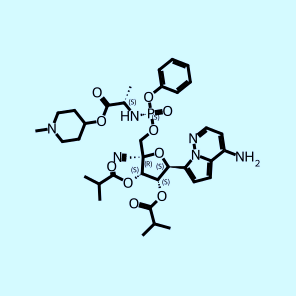 CC(C)C(=O)O[C@H]1[C@H](c2ccc3c(N)ccnn23)O[C@](C#N)(CO[P@@](=O)(N[C@@H](C)C(=O)OC2CCN(C)CC2)Oc2ccccc2)[C@H]1OC(=O)C(C)C